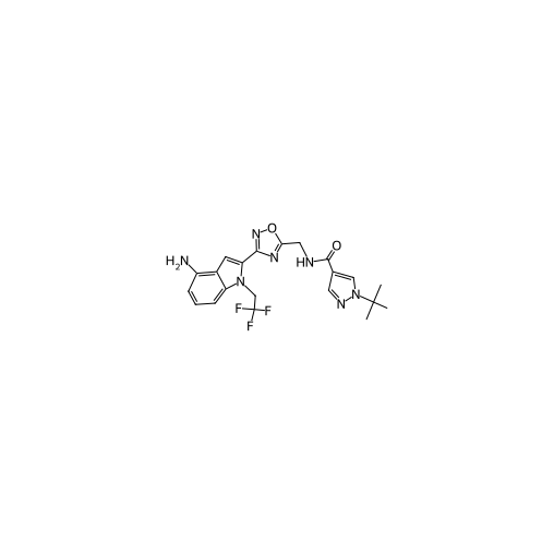 CC(C)(C)n1cc(C(=O)NCc2nc(-c3cc4c(N)cccc4n3CC(F)(F)F)no2)cn1